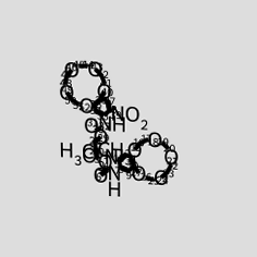 CC(C)(COC(=O)Nc1cc2c(cc1[N+](=O)[O-])OCCOCCOCCOCCO2)COC(=O)Nc1cc2c(cc1[N+](=O)[O-])OCCOCCOCCOCCO2